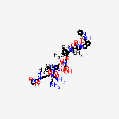 Cc1c(-c2ccc(N3CCc4cccc(C(=O)Nc5nc6ccccc6s5)c4C3)nc2C(=O)O)cnn1CC12CC3(C)CC(C)(C1)CC(OCCN(CCS(=O)(=O)O)C(=O)OCc1ccc(N(C(=O)[C@@H](N)C(C)C)C(=O)N(C(=O)CCCCCNC(=O)CN4C(=O)C=CC4=O)[C@@H](CCCN)C(N)=O)cc1)(C3)C2